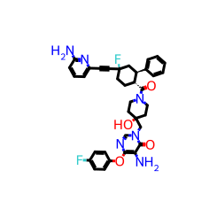 Nc1cccc(C#C[C@@]2(F)CC[C@@H](C(=O)N3CCC(O)(Cn4cnc(Oc5ccc(F)cc5)c(N)c4=O)CC3)[C@H](c3ccccc3)C2)n1